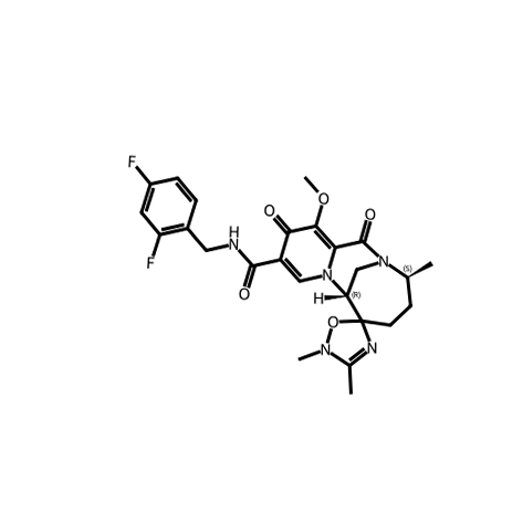 COc1c2n(cc(C(=O)NCc3ccc(F)cc3F)c1=O)[C@@H]1CN(C2=O)[C@@H](C)CCC12N=C(C)N(C)O2